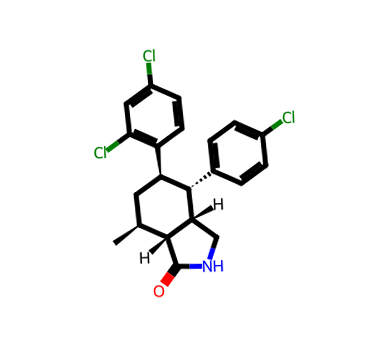 C[C@H]1C[C@@H](c2ccc(Cl)cc2Cl)[C@H](c2ccc(Cl)cc2)[C@@H]2CNC(=O)[C@@H]21